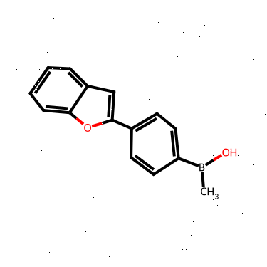 CB(O)c1ccc(-c2cc3ccccc3o2)cc1